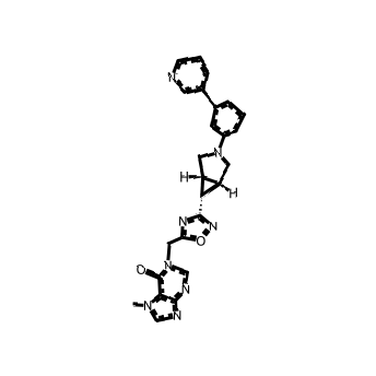 Cn1cnc2ncn(Cc3nc([C@@H]4[C@@H]5CN(c6cccc(-c7cccnc7)c6)C[C@@H]54)no3)c(=O)c21